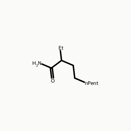 CCCCCCCC(CC)C(N)=O